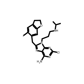 CC(C)NCCCn1c(Cc2cc3c(cc2I)CCO3)nc2c(N)nc(Cl)nc21